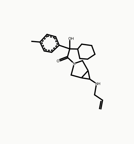 C=CCNC1C2CN(C(=O)C(O)(c3ccc(C)cc3)C3CCCCC3)CC21